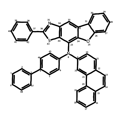 c1ccc(-c2ccc(N(c3ccc4ccc5ccccc5c4c3)c3c4oc5ccccc5c4cc4nc(-c5ccccc5)sc34)cc2)cc1